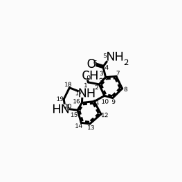 CCc1c(C(N)=O)cccc1-c1cccc2c1NCCN2